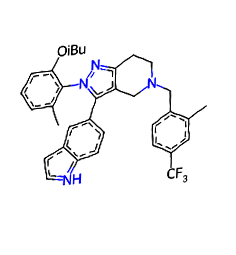 Cc1cc(C(F)(F)F)ccc1CN1CCc2nn(-c3c(C)cccc3OCC(C)C)c(-c3ccc4[nH]ccc4c3)c2C1